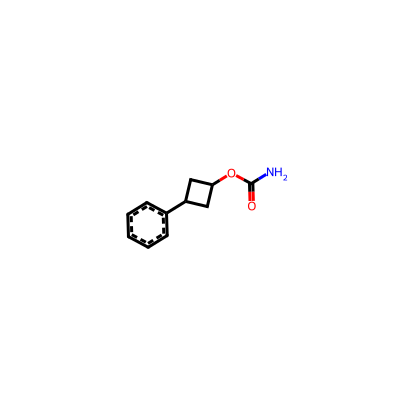 NC(=O)OC1CC(c2ccccc2)C1